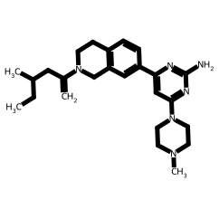 C=C(CC(C)CC)N1CCc2ccc(-c3cc(N4CCN(C)CC4)nc(N)n3)cc2C1